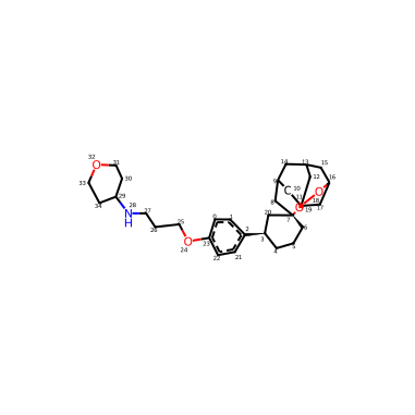 c1cc([C@@H]2CCC[C@]3(CC4CC5CC(C4)CC(C5)OO3)C2)ccc1OCCCNC1CCOCC1